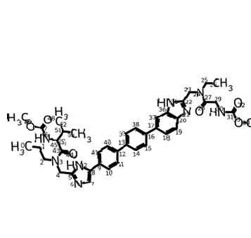 CCCN(Cc1ncc(-c2ccc(-c3ccc(-c4ccc5nc(CN(CC)C(=O)CNC(=O)OC)[nH]c5c4)cc3)cc2)[nH]1)C(=O)[C@@H](NC(=O)OC)C(C)C